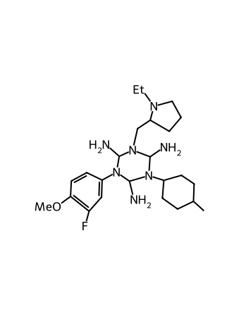 CCN1CCCC1CN1C(N)N(c2ccc(OC)c(F)c2)C(N)N(C2CCC(C)CC2)C1N